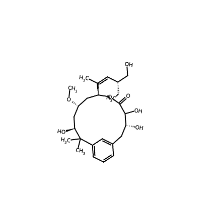 CC[C@H](/C=C(/C)[C@@H]1C[C@@H](OC)C[C@H](O)C(C)(C)c2cccc(c2)C[C@@H](O)C(O)C(=O)O1)CO